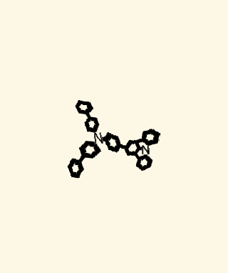 C1=C(c2ccc(N(c3ccc(-c4ccccc4)cc3)c3ccc(-c4ccccc4)cc3)cc2)C=C2c3ccccc3N3c4ccccc4C1C23